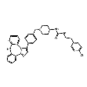 O=C(NCCc1ccc(Cl)cc1)NC1CCN(Cc2ccc(-c3nnc4n3-c3cccnc3Nc3ccccc3-4)cc2)CC1